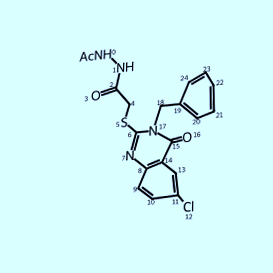 CC(=O)NNC(=O)CSc1nc2ccc(Cl)cc2c(=O)n1Cc1ccccc1